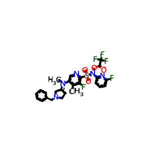 Cc1c(N(C)[C@H]2CCN(Cc3ccccc3)C2)cnc(S(=O)(=O)N(OC(=O)C(F)(F)F)c2cccc(F)n2)c1F